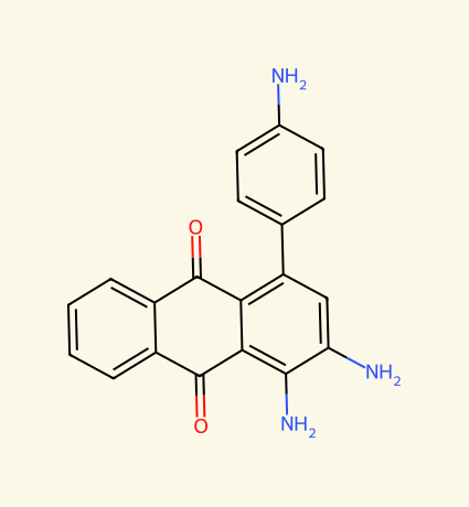 Nc1ccc(-c2cc(N)c(N)c3c2C(=O)c2ccccc2C3=O)cc1